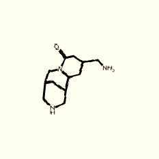 NCC1CC(=O)N2CC3CNCC(C3)C2C1